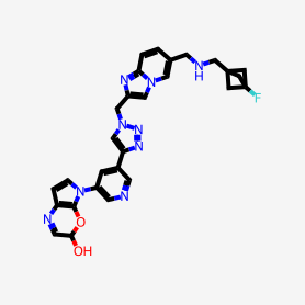 OC1C=Nc2ccn(-c3cncc(-c4cn(Cc5cn6cc(CNCC78CC(F)(C7)C8)ccc6n5)nn4)c3)c2O1